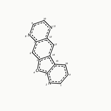 c1cnc2oc3cc4nccnc4cc3c2c1